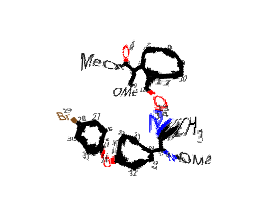 CO/C=C(/C(=O)OC)c1ccccc1CO/N=C(C)/C(=N\OC)c1ccc(Oc2ccc(Br)cc2)cc1